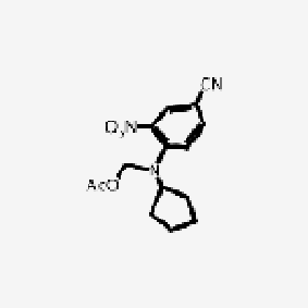 CC(=O)OCN(c1ccc(C#N)cc1[N+](=O)[O-])C1CCCC1